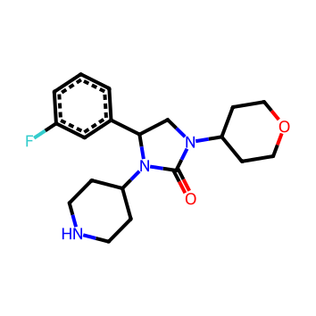 O=C1N(C2CCOCC2)CC(c2cccc(F)c2)N1C1CCNCC1